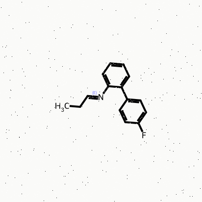 CC/C=N/c1ccccc1-c1ccc(F)cc1